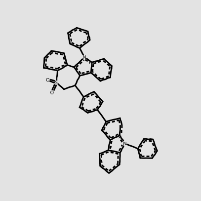 O=S1(=O)CC(c2ccc(-c3ccc4c(c3)c3ccccc3n4-c3ccccc3)cc2)c2c(n(-c3ccccc3)c3ccccc23)-c2ccccc21